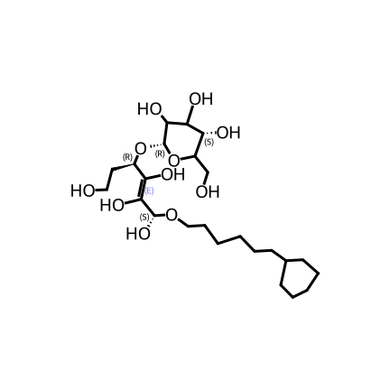 OCC[C@@H](O[C@H]1OC(CO)[C@@H](O)C(O)C1O)/C(O)=C(\O)[C@@H](O)OCCCCCCC1CCCCC1